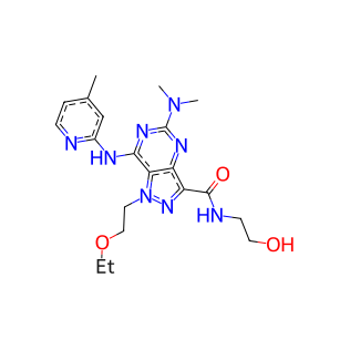 CCOCCn1nc(C(=O)NCCO)c2nc(N(C)C)nc(Nc3cc(C)ccn3)c21